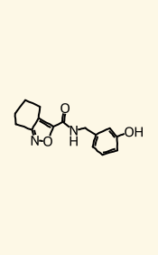 O=C(NCc1cccc(O)c1)c1onc2c1CCCC2